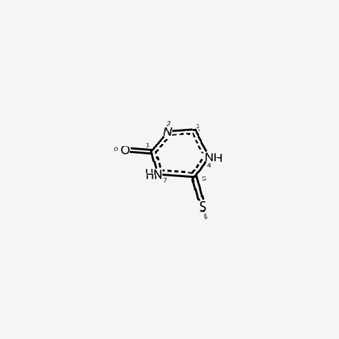 O=c1n[c][nH]c(=S)[nH]1